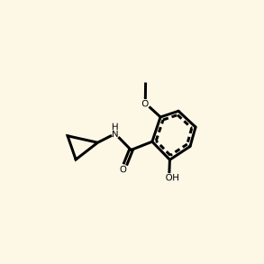 COc1cccc(O)c1C(=O)NC1CC1